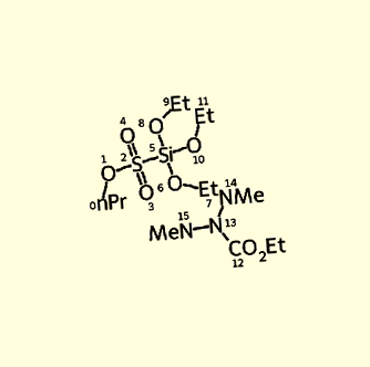 CCCOS(=O)(=O)[Si](OCC)(OCC)OCC.CCOC(=O)N(NC)NC